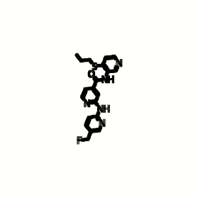 CCCSc1ccncc1NC(=O)c1ccnc(Nc2ccc(CF)cn2)c1